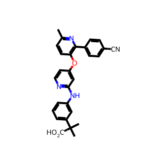 Cc1ccc(Oc2ccnc(Nc3cccc(C(C)(C)C(=O)O)c3)c2)c(-c2ccc(C#N)cc2)n1